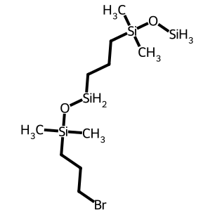 C[Si](C)(CCC[SiH2]O[Si](C)(C)CCCBr)O[SiH3]